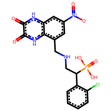 O=c1[nH]c2cc([N+](=O)[O-])cc(CNCC(c3ccccc3Cl)P(=O)(O)O)c2[nH]c1=O